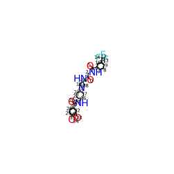 O=C(CNC(=O)c1cccc(C(F)(F)F)c1)NC1CN(C2CCC(NC(=O)c3ccc4c(c3)OCO4)CC2)C1